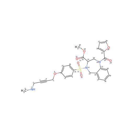 CNCC#CCOc1ccc(S(=O)(=O)N2Cc3ccccc3N(C(=O)c3ccco3)CC2C(=O)OC)cc1